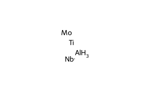 [AlH3].[Mo].[Nb].[Ti]